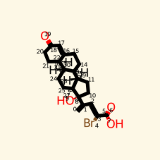 C=C(C=C(Br)C(=O)O)[C@]1(O)CC[C@H]2[C@@H]3CCC4=CC(=O)CC[C@@H]4[C@H]3CC[C@@]21C